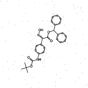 CC(C)(C)OC(=O)Nc1ccc(/C(=N/O)C(=O)OC(c2ccccc2)c2ccccc2)cc1